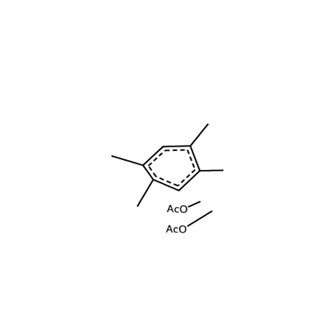 COC(C)=O.COC(C)=O.Cc1cc(C)c(C)cc1C